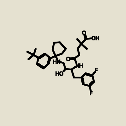 CC(C)(CCC(=O)NC(Cc1cc(F)cc(F)c1)C(O)CNC1(c2cccc(C(C)(C)C)c2)CCCCC1)C(=O)O